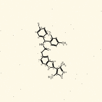 Cc1ccc(C(NC(=O)Cc2ccc3oc(-c4c(C)noc4C)nc3c2)c2ccc(F)cc2)c(C)c1